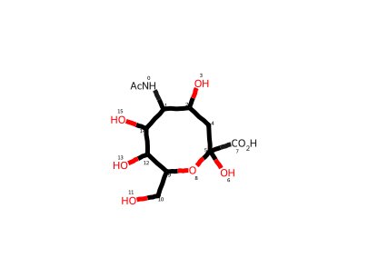 CC(=O)NC1C(O)CC(O)(C(=O)O)OC(CO)C(O)C1O